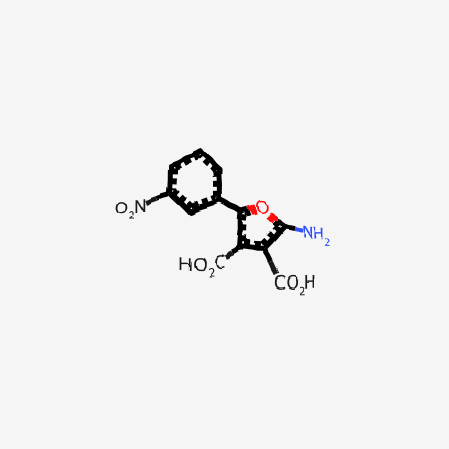 Nc1oc(-c2cccc([N+](=O)[O-])c2)c(C(=O)O)c1C(=O)O